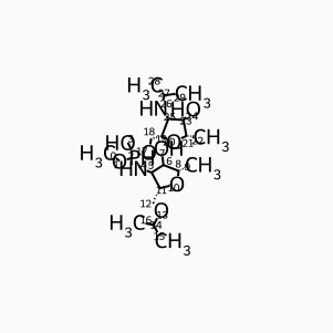 CO[PH](O)(NC1C(O)[C@H](C)O[C@@H]1COC(C)C)OC[C@H]1O[C@@H](C)C(O)C1NC(C)C